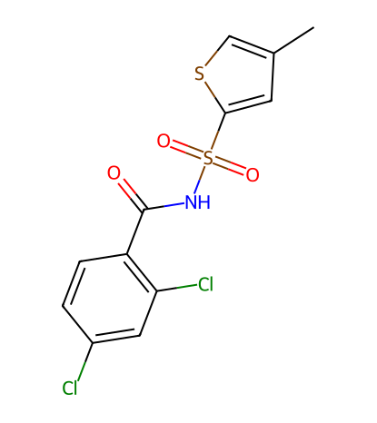 Cc1csc(S(=O)(=O)NC(=O)c2ccc(Cl)cc2Cl)c1